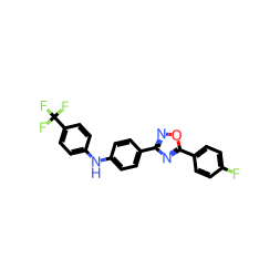 Fc1ccc(-c2nc(-c3ccc(Nc4ccc(C(F)(F)F)cc4)cc3)no2)cc1